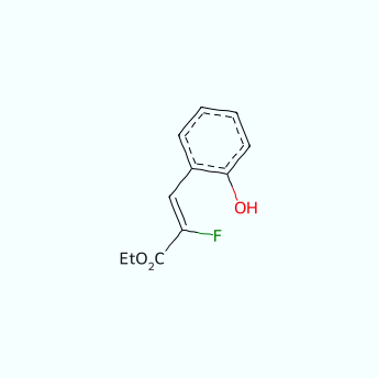 CCOC(=O)/C(F)=C/c1ccccc1O